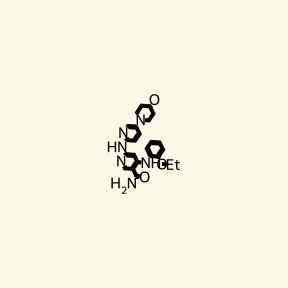 CCOc1ccccc1Nc1cc(Nc2ccc(N3CCC(=O)CC3)cn2)ncc1C(N)=O